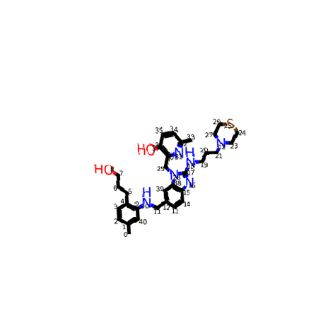 Cc1ccc(CCCO)c(NCc2ccc3nc(NCCCN4CCSCC4)n(Cc4nc(C)ccc4O)c3c2)c1